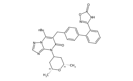 CCCCc1c(Cc2ccc(-c3ccccc3-c3noc(=O)[nH]3)cc2)c(=O)n(C2C[C@@H](C)O[C@@H](C)C2)c2ncnn12